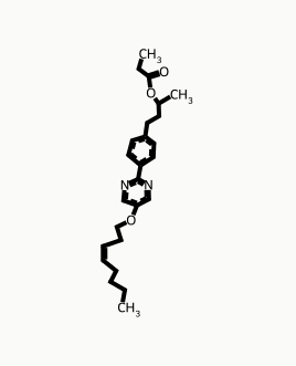 CCCC/C=C\CCOc1cnc(-c2ccc(CCC(C)OC(=O)CC)cc2)nc1